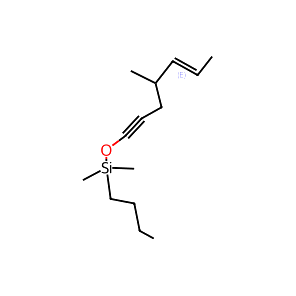 C/C=C/C(C)CC#CO[Si](C)(C)CCCC